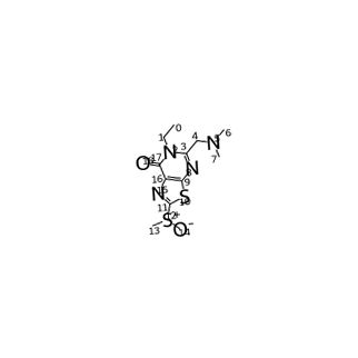 CCn1c(CN(C)C)nc2sc([S+](C)[O-])nc2c1=O